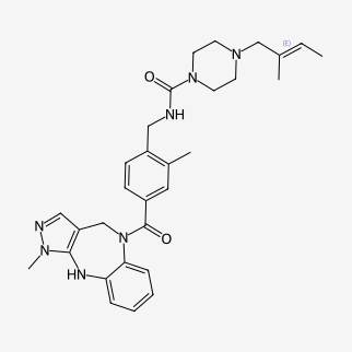 C/C=C(\C)CN1CCN(C(=O)NCc2ccc(C(=O)N3Cc4cnn(C)c4Nc4ccccc43)cc2C)CC1